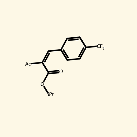 CC(=O)/C(=C/c1ccc(C(F)(F)F)cc1)C(=O)OC(C)C